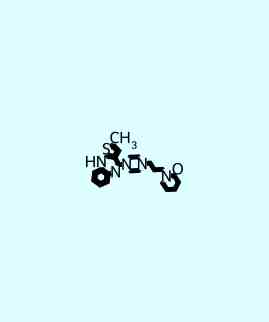 Cc1cc2c(s1)Nc1ccccc1N=C2N1CCN(CCCN2CCCCC2=O)CC1